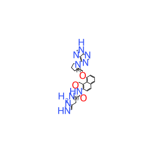 N[C@@H](Cc1c[nH]cn1)C(=O)Nc1ccc2cccc(OC[C@H]3CCCN3c3ncnc4[nH]cnc34)c2c1C=O